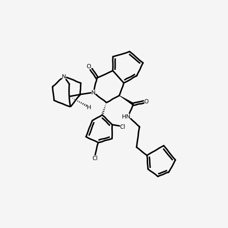 O=C(NCCc1ccccc1)[C@@H]1c2ccccc2C(=O)N([C@@H]2CN3CCC2CC3)[C@H]1c1ccc(Cl)cc1Cl